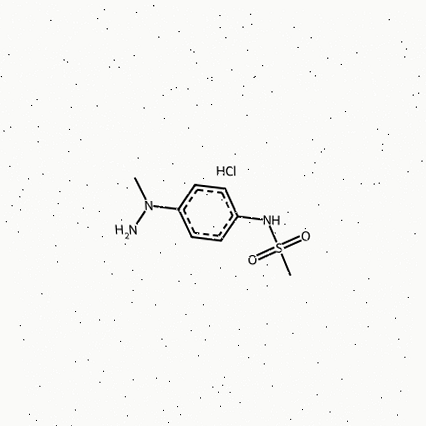 CN(N)c1ccc(NS(C)(=O)=O)cc1.Cl